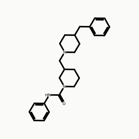 O=C(Nc1ccccc1)N1CCCC(CN2CCC(Cc3ccccc3)CC2)C1